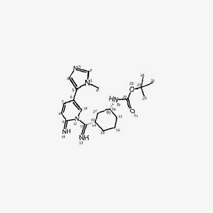 Cn1cncc1-c1ccc(=N)n(C(=N)[C@H]2CCC[C@@H](NC(=O)OC(C)(C)C)C2)c1